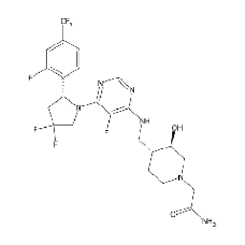 NC(=O)CN1CC[C@H](CNc2ncnc(N3CC(F)(F)C[C@@H]3c3ccc(C(F)(F)F)cc3F)c2F)[C@@H](O)C1